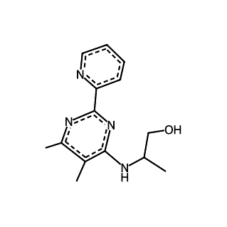 Cc1nc(-c2ccccn2)nc(NC(C)CO)c1C